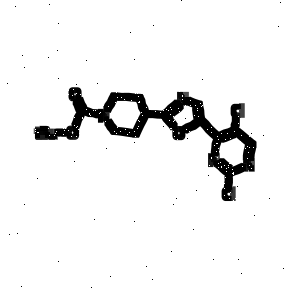 CC(C)(C)OC(=O)N1CCC(c2ncc(-c3nc(Cl)ncc3Cl)o2)CC1